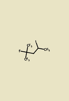 CC(I)CC(F)(C(F)(F)F)C(F)(F)F